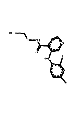 O=C(O)CONC(=O)c1ccncc1[AsH]c1ccc(I)cc1F